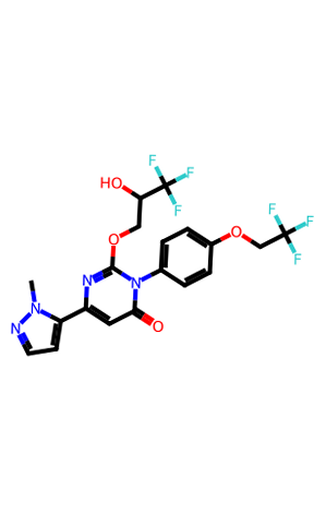 Cn1nccc1-c1cc(=O)n(-c2ccc(OCC(F)(F)F)cc2)c(OCC(O)C(F)(F)F)n1